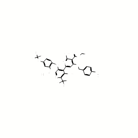 CCOC(=O)c1c(OCc2ccc(OC)cc2)cc(-c2c(Oc3ccc(OC(F)(F)F)cc3OC)cnc(C(F)(F)F)c2C)nc1C